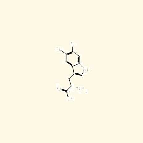 N[C@@H](Cc1c[nH]c2cc(F)c(Cl)cc12)C(=O)O